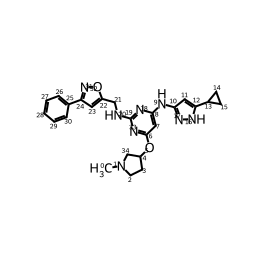 CN1CCC(Oc2cc(Nc3cc(C4CC4)[nH]n3)nc(NCc3cc(-c4ccccc4)no3)n2)C1